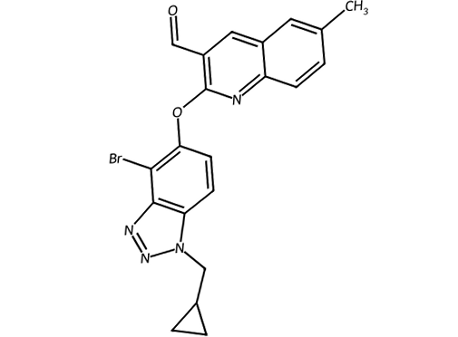 Cc1ccc2nc(Oc3ccc4c(nnn4CC4CC4)c3Br)c(C=O)cc2c1